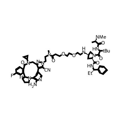 CC[C@H](NC(=O)[C@H]1C[C@@H](NCCOCCOCCC(=O)N(C)CCn2nc3c(c2C#N)-c2cnc(N)c(c2)N2CCC[C@@H]2c2cc(F)ccc2C(=O)N(C2CC2)C3)CN1C(=O)C(NC(=O)[C@@H](C)NC)C(C)(C)C)c1ccccc1